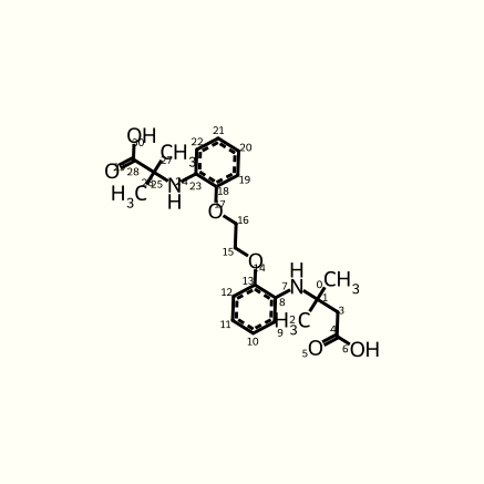 CC(C)(CC(=O)O)Nc1ccccc1OCCOc1ccccc1NC(C)(C)C(=O)O